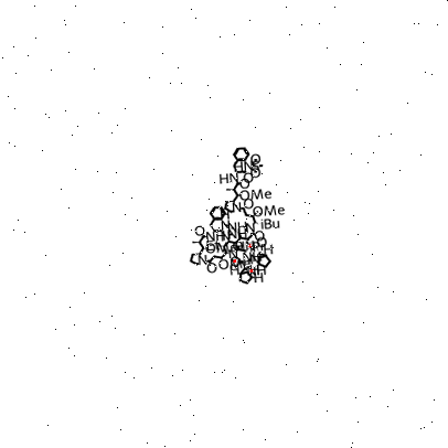 CC[C@H](CCC(C)[C@H](NC(=O)[C@@H]1[C@H]2CC[C@H](C2)N1C)C(=O)N(C)[C@@H]([C@@H](C)CC)[C@@H](CC(=O)N1CCC[C@H]1[C@H](OC)[C@@H](C)C(=O)N[C@@H](Cc1ccccc1)C(=O)NS(C)(=O)=O)OC)[C@@H]([C@@H](CC(=O)N1CCC[C@H]1[C@H](OC)[C@@H](C)C(=O)N[C@@H](Cc1ccccc1)C1=NNNN1)OC)N(C)C(=O)[C@@H](NC(=O)[C@H]1N[C@@H]2CC[C@H]1C2)C(C)C